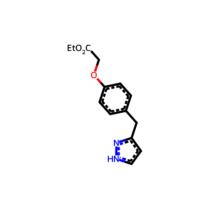 CCOC(=O)COc1ccc(Cc2cc[nH]n2)cc1